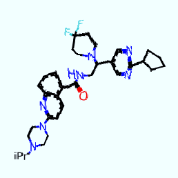 CC(C)N1CCN(c2ccc3c(C(=O)NCC(c4cnc(C5CCCC5)nc4)N4CCC(F)(F)CC4)cccc3n2)CC1